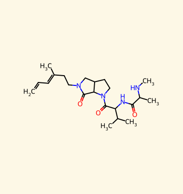 C=CC=C(C)CCN1CC2CCN(C(=O)C(NC(=O)C(C)NC)C(C)C)C2C1=O